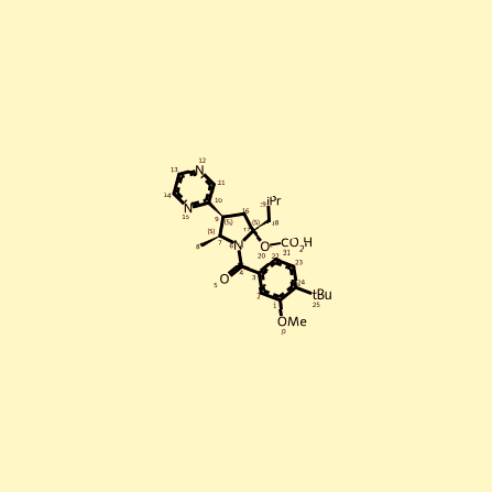 COc1cc(C(=O)N2[C@@H](C)[C@@H](c3cnccn3)C[C@]2(CC(C)C)OC(=O)O)ccc1C(C)(C)C